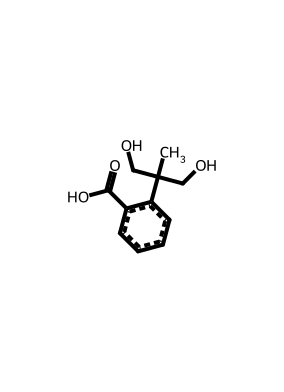 CC(CO)(CO)c1ccccc1C(=O)O